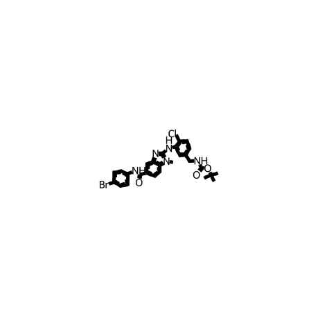 Cn1c(Nc2cc(CNC(=O)OC(C)(C)C)ccc2Cl)nc2cc(C(=O)Nc3ccc(Br)cc3)ccc21